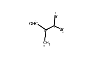 CC(C=O)C(Br)Br